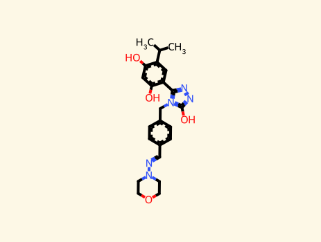 CC(C)c1cc(-c2nnc(O)n2Cc2ccc(C=NN3CCOCC3)cc2)c(O)cc1O